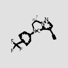 C#Cc1cnn2c1CN(c1ccc(C(F)(F)F)cc1)C[C@@H]2C